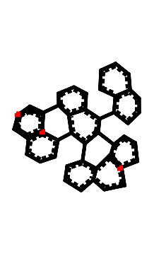 c1ccc(-c2c(-c3cccc4ccccc34)c(-c3cccc4ccccc34)c3c(-c4ccccc4)cccc3c2-c2cccc3ccccc23)cc1